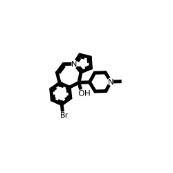 CN1CCC(C2(O)c3cc(Br)ccc3C=Cn3cccc32)CC1